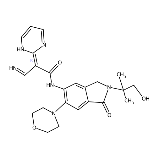 CC(C)(CO)N1Cc2cc(NC(=O)/C(C=N)=C3\N=CC=CN3)c(N3CCOCC3)cc2C1=O